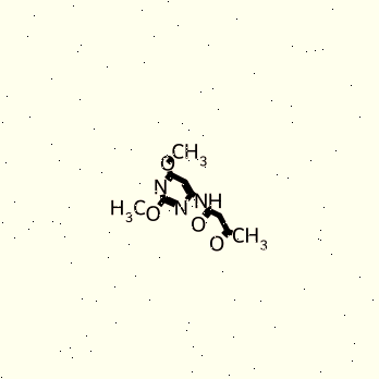 COc1cc(NC(=O)CC(C)=O)nc(OC)n1